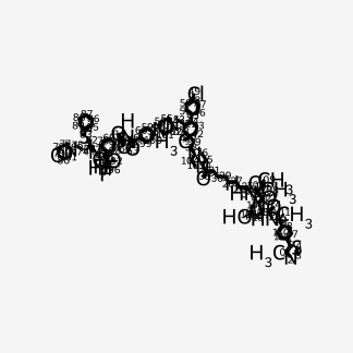 Cc1ncsc1-c1ccc([C@H](C)NC(=O)[C@@H]2C[C@@H](O)CN2C(=O)[C@@H](NCCCCCCCC(=O)N2CCN(CCC3(C)CCC(c4ccc(Cl)cc4)=C(CN4CCN(c5ccc(C(=O)NS(=O)(=O)c6ccc(N[C@H](CCN7CCOCC7)CSc7ccccc7)c(S(=O)(=O)C(F)(F)F)c6)cc5)CC4)C3)CC2)C(C)(C)C)cc1